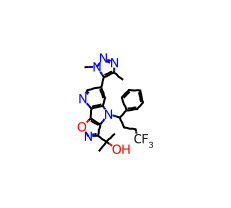 Cc1nnn(C)c1-c1cnc2c3onc(C(C)(C)O)c3n(C(CCC(F)(F)F)c3ccccc3)c2c1